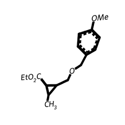 CCOC(=O)C1C(C)C1COCc1ccc(OC)cc1